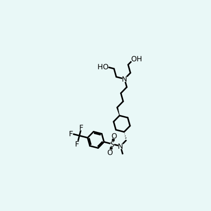 CN(C[C@H]1CC[C@H](CCCCN(CCO)CCO)CC1)S(=O)(=O)c1ccc(C(F)(F)F)cc1